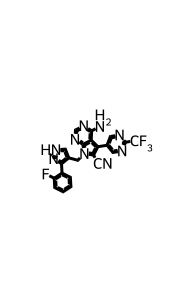 N#Cc1c(-c2cnc(C(F)(F)F)nc2)c2c(N)ncnc2n1Cc1c[nH]nc1-c1ccccc1F